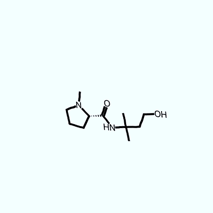 CN1CCC[C@H]1C(=O)NC(C)(C)CCO